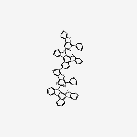 c1ccc(-c2nc(-n3c4ccccc4c4c5cc(-c6cccc7c6sc6c(-c8ccccc8)nc(-n8c9ccccc9c9c%10ccccc%10c%10c%11ccccc%11sc%10c98)nc67)ccc5c5c6ccccc6sc5c43)cc3c2sc2ccccc23)cc1